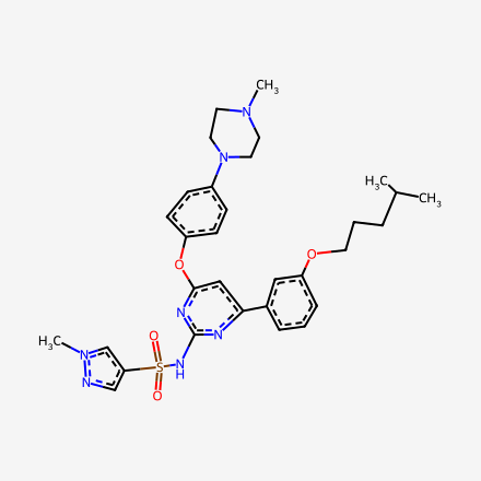 CC(C)CCCOc1cccc(-c2cc(Oc3ccc(N4CCN(C)CC4)cc3)nc(NS(=O)(=O)c3cnn(C)c3)n2)c1